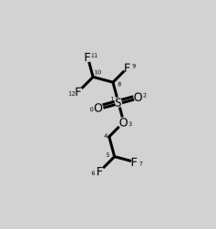 O=S(=O)(OCC(F)F)C(F)C(F)F